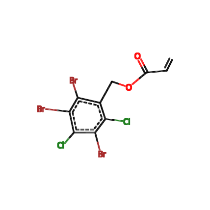 C=CC(=O)OCc1c(Cl)c(Br)c(Cl)c(Br)c1Br